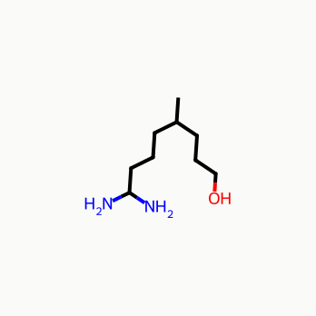 CC(CCCO)CCCC(N)N